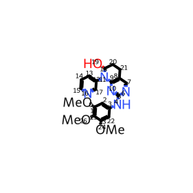 COc1cc(Nc2ncc3c(n2)N(c2cccnc2)C(O)CC3)cc(OC)c1OC